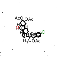 CC(=O)O[C@@H]([C@@H](C)[C@H]1CC[C@H]2[C@@H]3CC(=O)[C@H]4C[C@H](OC(C)=O)[C@H](OC(C)=O)C[C@]4(C)[C@H]3CC[C@]12C)[C@@H](OC(C)=O)c1ccc(Cl)cc1